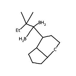 BC(B)(C1CCCC2CCCC21)C(C)(C)CC